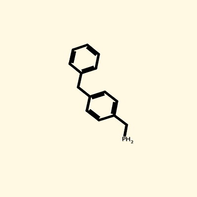 PCc1ccc(Cc2ccccc2)cc1